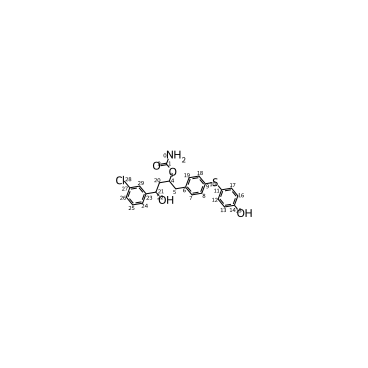 NC(=O)OC(Cc1ccc(Sc2ccc(O)cc2)cc1)C[C@@H](O)c1cccc(Cl)c1